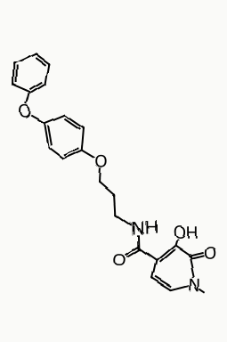 Cn1ccc(C(=O)NCCCOc2ccc(Oc3ccccc3)cc2)c(O)c1=O